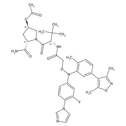 CC(=O)O[C@@H]1C[C@@H](C(N)=O)N(C(=O)[C@@H](NC(=O)CON(c2ccc(-n3ccnc3)c(F)c2)c2cc(-c3c(C)noc3C)ccc2C)C(C)(C)C)C1